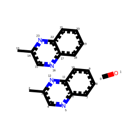 C=O.Cc1cnc2ccccc2n1.Cc1cnc2ccccc2n1